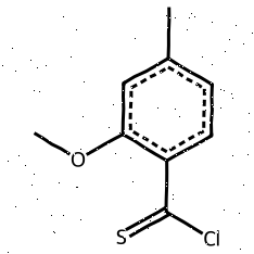 COc1cc(C)ccc1C(=S)Cl